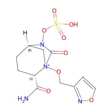 NC(=O)[C@@H]1CC[C@@H]2C[N+]1(OCc1ccon1)C(=O)N2OS(=O)(=O)O